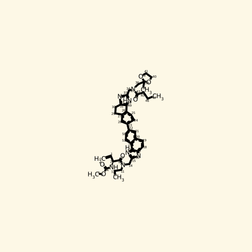 C=C[C@H](NC(=O)OC)C(=O)N(CCC)Cc1nc2ccc3cc(-c4ccc5c(c4)CCc4nc(CN(CC6(C)OCCO6)C(=O)CCC)[nH]c4-5)ccc3c2[nH]1